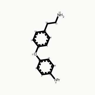 CCCc1ccc(Oc2ccc(CCN)cc2)cc1